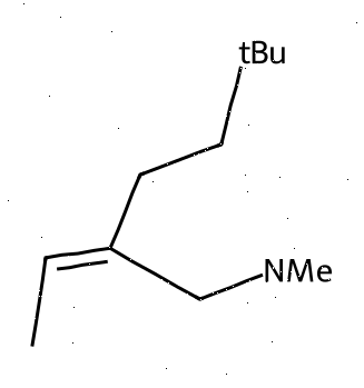 C/C=C(/CCC(C)(C)C)CNC